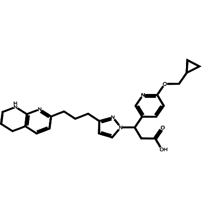 O=C(O)CC(c1ccc(OCC2CC2)nc1)n1ccc(CCCc2ccc3c(n2)NCCC3)n1